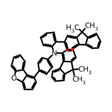 CC1(C)c2ccccc2-c2ccc(-c3ccccc3N(c3ccc(-c4cccc5oc6ccccc6c45)cc3)c3cccc4c3-c3ccccc3C4(C)C)cc21